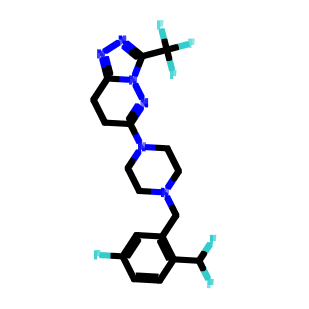 Fc1ccc(C(F)F)c(CN2CCN(C3=Nn4c(nnc4C(F)(F)F)CC3)CC2)c1